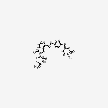 C=C1CCC(N2Cc3c(OCc4ccc(CN5CCN(CC)C(=O)C5)cc4)cccc3C2=O)C(=O)N1